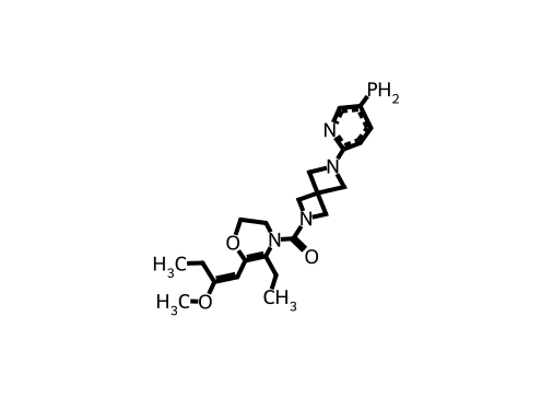 CCC1=C(/C=C(\CC)OC)OCCN1C(=O)N1CC2(C1)CN(c1ccc(P)cn1)C2